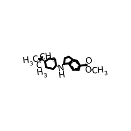 COC(=O)c1ccc2c(c1)CCC2N[C@H]1CC[C@H](C(C)(C)C)CC1